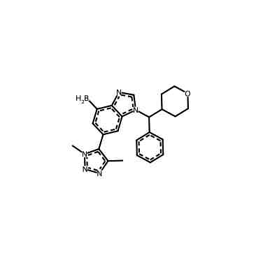 Bc1cc(-c2c(C)nnn2C)cc2c1ncn2C(c1ccccc1)C1CCOCC1